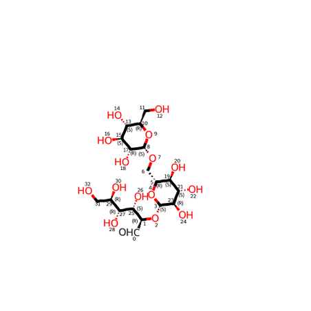 O=C[C@H](O[C@@H]1O[C@H](CO[C@H]2O[C@H](CO)[C@@H](O)[C@H](O)[C@H]2O)[C@@H](O)[C@H](O)[C@H]1O)[C@@H](O)[C@H](O)[C@H](O)CO